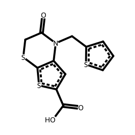 O=C(O)c1cc2c(s1)SCC(=O)N2Cc1cccs1